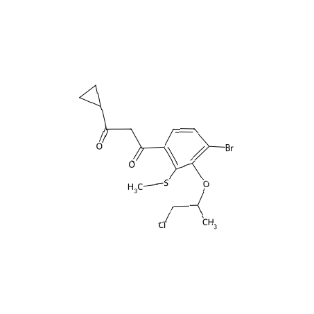 CSc1c(C(=O)CC(=O)C2CC2)ccc(Br)c1OC(C)CCl